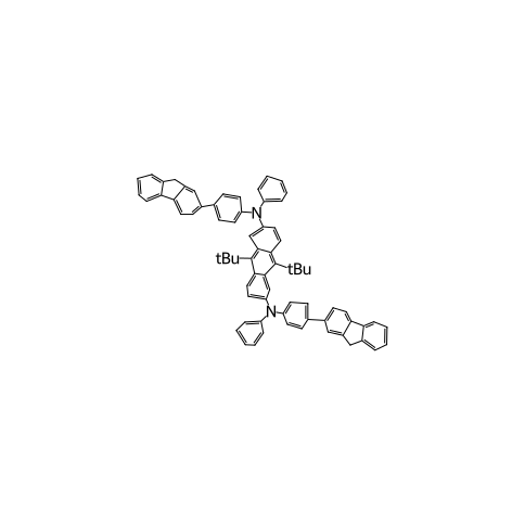 CC(C)(C)c1c2ccc(N(c3ccccc3)c3ccc(-c4ccc5c(c4)Cc4ccccc4-5)cc3)cc2c(C(C)(C)C)c2ccc(N(c3ccccc3)c3ccc(-c4ccc5c(c4)Cc4ccccc4-5)cc3)cc12